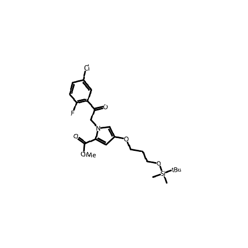 COC(=O)c1cc(OCCCO[Si](C)(C)C(C)(C)C)cn1CC(=O)c1cc(Cl)ccc1F